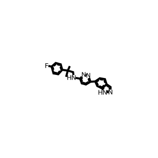 CC(C)(CNc1ccc(-c2ccc3cn[nH]c3c2)nn1)c1ccc(F)cc1